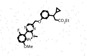 CCOC(=O)CC(c1cccc(OCc2cnc(-c3cc(OC)ccc3F)c(N(C)C(C)C)n2)c1)C1CC1